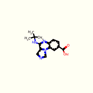 CC(C)(C)Nc1nc2ccc(C(=O)O)cc2n2cncc12